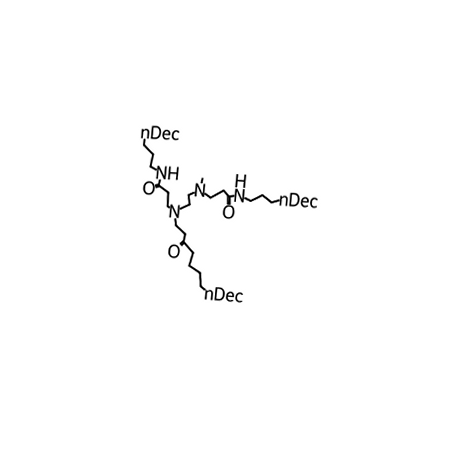 CCCCCCCCCCCCCCC(=O)CCN(CCC(=O)NCCCCCCCCCCCCC)CCN(C)CCC(=O)NCCCCCCCCCCCCC